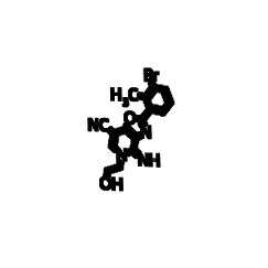 Cc1c(Br)cccc1-c1nc2c(=N)n(CCO)cc(C#N)c2o1